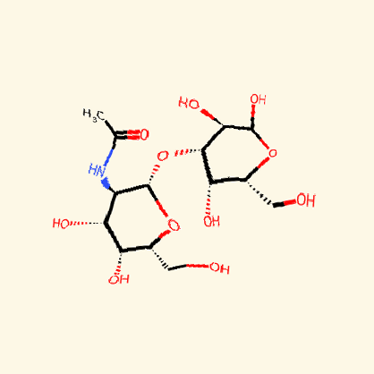 CC(=O)N[C@H]1[C@H](O[C@H]2[C@@H](O)[C@@H](CO)OC(O)[C@@H]2O)O[C@H](CO)[C@H](O)[C@@H]1O